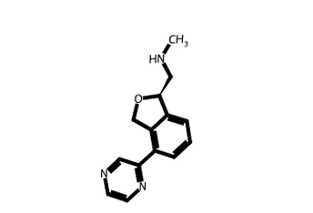 CNC[C@@H]1OCc2c(-c3cnccn3)cccc21